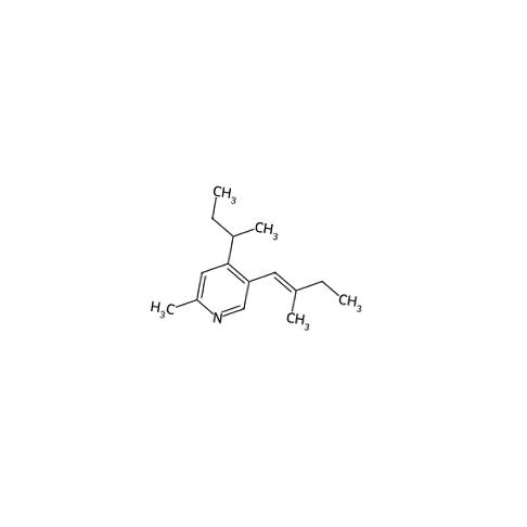 CC/C(C)=C/c1cnc(C)cc1C(C)CC